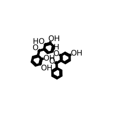 O=C(c1cccc(O)c1O)c1cccc(O)c1O.O=C(c1ccccc1)c1ccc(O)cc1O